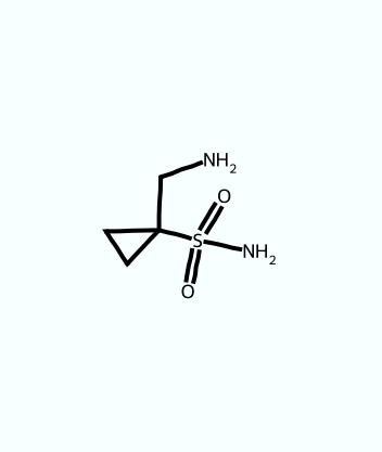 NCC1(S(N)(=O)=O)CC1